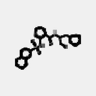 O=C(NC(CO)Cc1ccccc1)c1ccccc1NS(=O)(=O)c1ccc2ccccc2c1